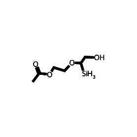 CC(=O)OCCOC([SiH3])CO